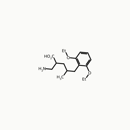 CCOc1cccc(OCC)c1CC(C)CC(CN)C(=O)O